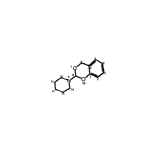 c1ccc2c(c1)COC(N1CCCCC1)O2